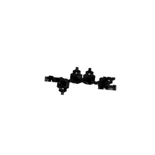 CCCCCN(CCCCN(CC1CC1CN(CCCCN(CCCCC)S(=O)(=O)c1c(C)cc(C)cc1C)S(=O)(=O)c1c(C)cc(C)cc1C)S(=O)(=O)c1c(C)cc(C)cc1C)S(=O)(=O)c1c(C)cc(C)cc1C